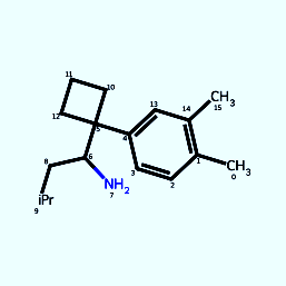 Cc1ccc(C2(C(N)CC(C)C)CCC2)cc1C